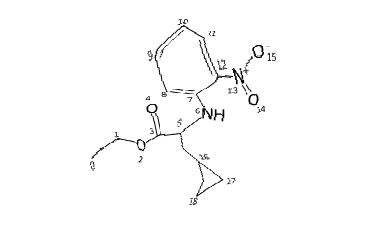 CCOC(=O)C(Nc1ccccc1[N+](=O)[O-])C1CC1